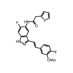 COc1cc(C=Cc2n[nH]c3cc(F)c(NC(=O)Cc4cccs4)cc23)ccc1F